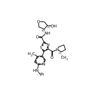 Cc1cc(NC(C)C)ncc1-c1sc(C(=O)N[C@@H]2COC[C@H]2O)nc1C(=O)N1CCC[C@@H]1C